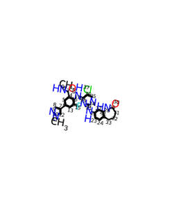 CNC(=O)c1cc(-c2cnn(C)c2)cc(F)c1Nc1nc(Nc2ccc3c(c2)NC(=O)CCC3)ncc1Cl